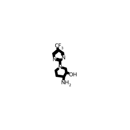 NC1CCN(c2ncc(C(F)(F)F)cn2)CC1O